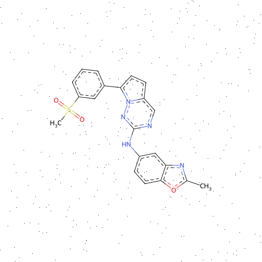 Cc1nc2cc(Nc3ncc4ccc(-c5cccc(S(C)(=O)=O)c5)n4n3)ccc2o1